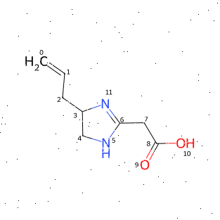 C=CCC1CNC(CC(=O)O)=N1